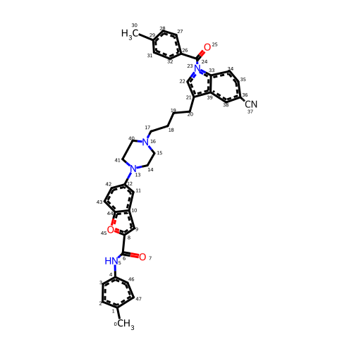 Cc1ccc(NC(=O)c2cc3cc(N4CCN(CCCCc5cn(C(=O)c6ccc(C)cc6)c6ccc(C#N)cc56)CC4)ccc3o2)cc1